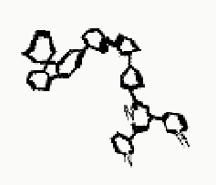 c1cncc(-c2cc(-c3ccc(-c4cccc(-c5cccc(-c6ccc7c(c6)C6(CCCCC6)c6ccccc6-7)c5)c4)cc3)nc(-c3cccnc3)c2)c1